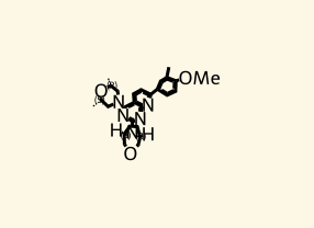 COc1ccc(-c2ccc3c(N4C[C@@H](C)O[C@@H](C)C4)nc(N4[C@@H]5CC[C@H]4COC5)nc3n2)cc1C